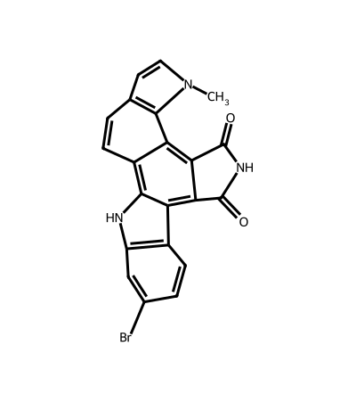 Cn1ccc2ccc3c4[nH]c5cc(Br)ccc5c4c4c(c3c21)C(=O)NC4=O